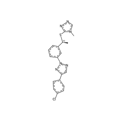 C[C@H](Sc1nncn1C)c1cccc(-n2ncc(-c3ccc(Cl)cc3)n2)c1